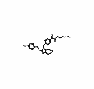 COCCCNC(=O)c1ccc(Cn2c(SCc3ccc(C#N)cc3)nc3ccncc32)cc1